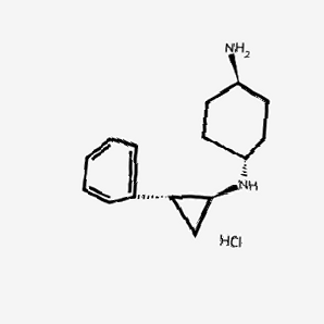 Cl.N[C@H]1CC[C@H](N[C@H]2C[C@@H]2c2ccccc2)CC1